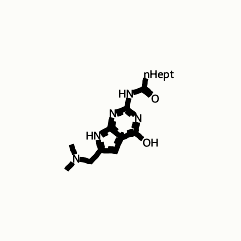 CCCCCCCC(=O)Nc1nc(O)c2cc(CN(C)C)[nH]c2n1